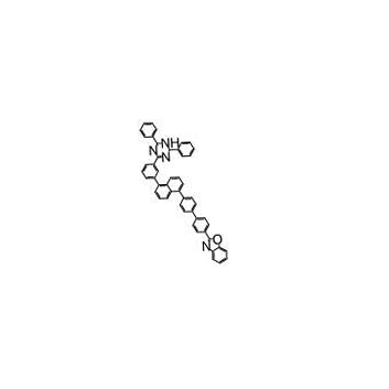 c1ccc(C2=NC(c3cccc(-c4cccc5c(-c6ccc(-c7ccc(-c8nc9ccccc9o8)cc7)cc6)cccc45)c3)=NC(c3ccccc3)N2)cc1